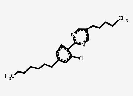 CCCCCCCc1ccc(-c2ncc(CCCCC)cn2)c(Cl)c1